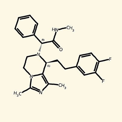 CNC(=O)[C@@H](c1ccccc1)N1CCn2c(C)nc(C)c2[C@@H]1CCc1ccc(F)c(F)c1